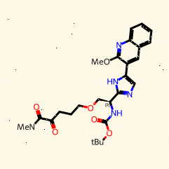 CNC(=O)C(=O)CCCOC[C@H](NC(=O)OC(C)(C)C)c1ncc(-c2cc3ccccc3nc2OC)[nH]1